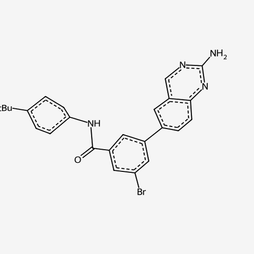 CC(C)(C)c1ccc(NC(=O)c2cc(Br)cc(-c3ccc4nc(N)ncc4c3)c2)cc1